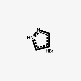 Br.c1cn[nH]c1